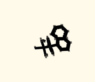 CCCC(C)(CC)S(=O)(=O)c1cccc2ccccc12